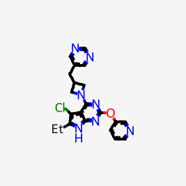 CCc1[nH]c2nc(Oc3cccnc3)nc(N3CC(Cc4cncnc4)C3)c2c1Cl